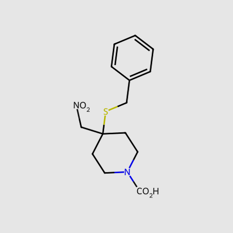 O=C(O)N1CCC(C[N+](=O)[O-])(SCc2ccccc2)CC1